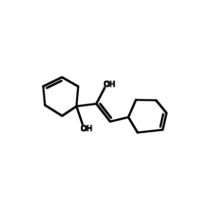 OC(=CC1CC=CCC1)C1(O)CC=CCC1